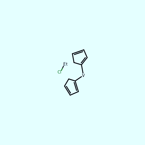 C1=CC[C]([V][C]2=CC=CC2)=C1.CCCl